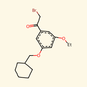 CCOc1cc(OCC2CCCCC2)cc(C(=O)CBr)c1